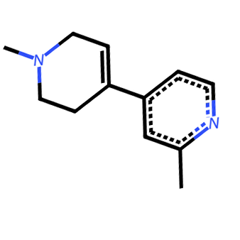 Cc1cc(C2=CCN(C)CC2)ccn1